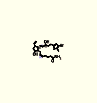 C=CC1CC(O)[C@H](C/C=C\CCCC(N)=O)[C@H]1/C=C/[C@@H](O)CCc1cc(Br)c(C)s1